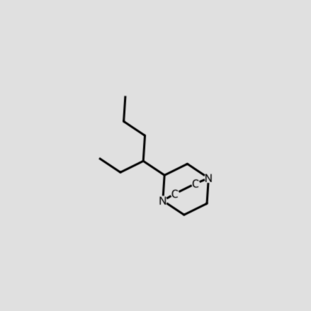 CCCC(CC)C1CN2CCN1CC2